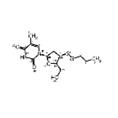 CCCSS[C@@H]1C[C@H](n2cc(C)c(=O)[nH]c2=O)O[C@@H]1CO